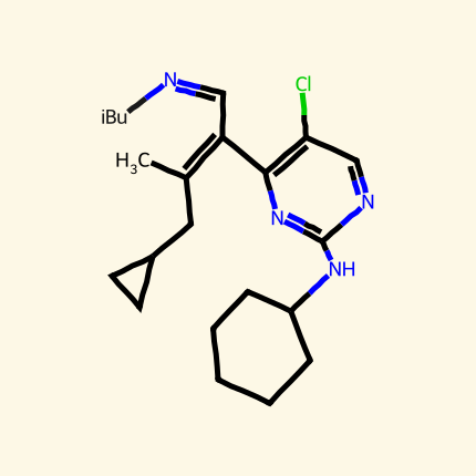 CCC(C)/N=C\C(=C(/C)CC1CC1)c1nc(NC2CCCCC2)ncc1Cl